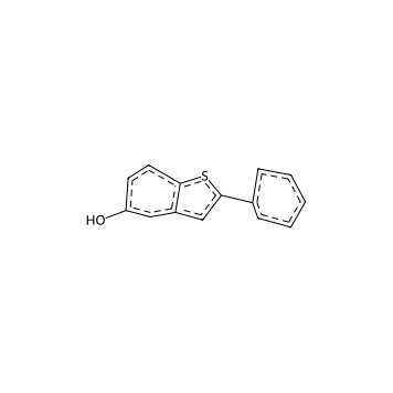 Oc1ccc2sc(-c3ccccc3)cc2c1